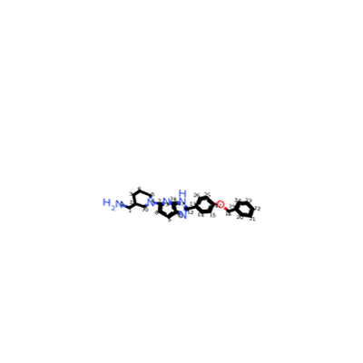 NCC1CCCN(c2ccc3nc(-c4ccc(OCc5ccccc5)cc4)[nH]c3n2)C1